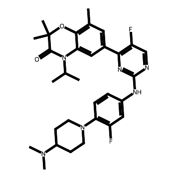 Cc1cc(-c2nc(Nc3ccc(N4CCC(N(C)C)CC4)c(F)c3)ncc2F)cc2c1OC(C)(C)C(=O)N2C(C)C